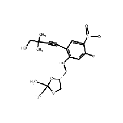 CC(C)(C#Cc1cc([N+](=O)[O-])c(F)cc1NC[C@@H]1COC(C)(C)O1)CO